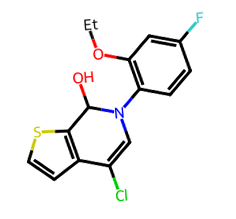 CCOc1cc(F)ccc1N1C=C(Cl)c2ccsc2C1O